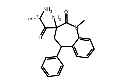 C[C@H](N)C(=O)C1(N)CC(c2ccccc2)c2ccccc2N(C)C1=O